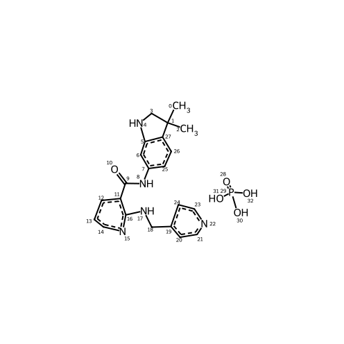 CC1(C)CNc2cc(NC(=O)c3cccnc3NCc3ccncc3)ccc21.O=P(O)(O)O